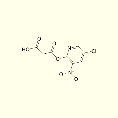 O=C(O)CC(=O)Oc1ncc(Cl)cc1[N+](=O)[O-]